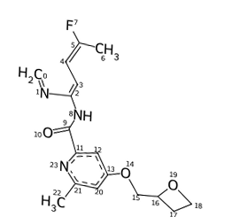 C=N/C(=C\C=C(/C)F)NC(=O)c1cc(OCC2CCO2)cc(C)n1